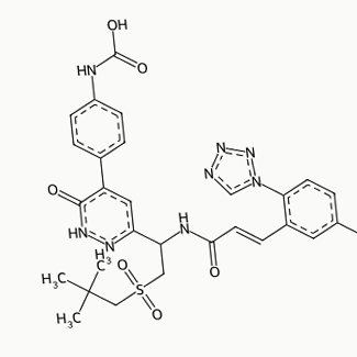 CC(C)(C)CS(=O)(=O)CC(NC(=O)C=Cc1cc(Cl)ccc1-n1cnnn1)c1cc(-c2ccc(NC(=O)O)cc2)c(=O)[nH]n1